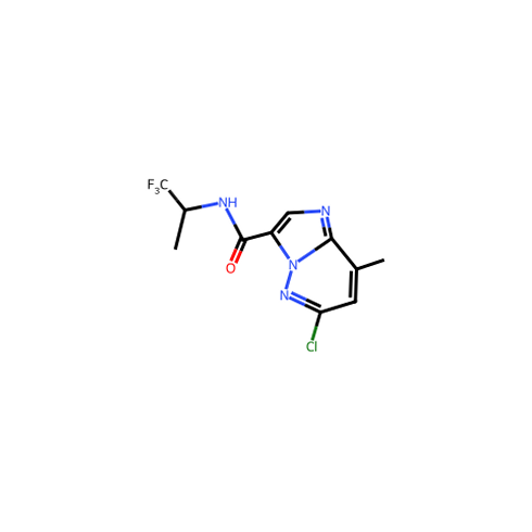 Cc1cc(Cl)nn2c(C(=O)NC(C)C(F)(F)F)cnc12